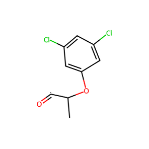 CC([C]=O)Oc1cc(Cl)cc(Cl)c1